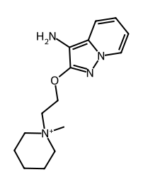 C[N+]1(CCOc2nn3ccccc3c2N)CCCCC1